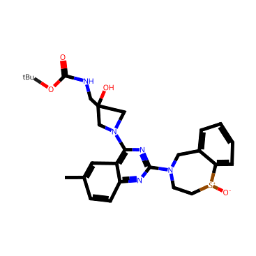 Cc1ccc2nc(N3CC[S+]([O-])c4ccccc4C3)nc(N3CC(O)(CNC(=O)OC(C)(C)C)C3)c2c1